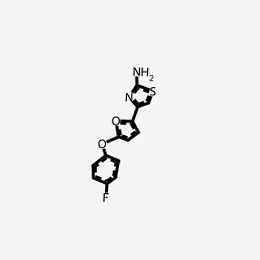 Nc1nc(-c2ccc(Oc3ccc(F)cc3)o2)cs1